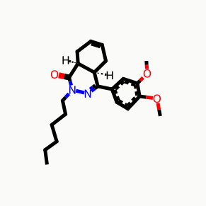 CCCCCCN1N=C(c2ccc(OC)c(OC)c2)[C@@H]2CC=CC[C@@H]2C1=O